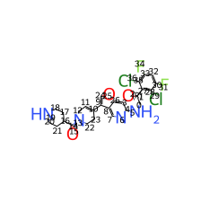 C[C@@H](Oc1c(N)ncc2c(C3=CCN(C(=O)C4CCNCC4)CC3)coc12)c1c(Cl)c(F)cc(F)c1Cl